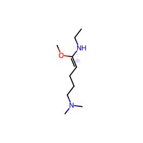 CCN/C(=C/CCCN(C)C)OC